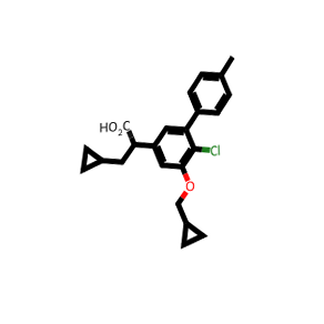 Cc1ccc(-c2cc(C(CC3CC3)C(=O)O)cc(OCC3CC3)c2Cl)cc1